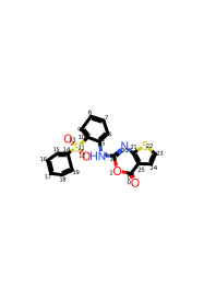 O=c1oc(Nc2ccccc2S(=O)(=O)c2ccccc2)nc2sccc12